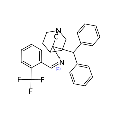 FC(F)(F)c1ccccc1/C=N\C1(C(c2ccccc2)c2ccccc2)CN2CCC1CC2